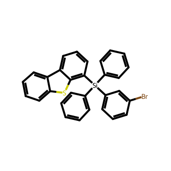 Brc1cccc([Si](c2ccccc2)(c2ccccc2)c2cccc3c2sc2ccccc23)c1